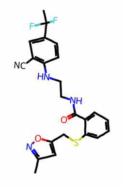 Cc1cc(CSc2ccccc2C(=O)NCCNc2ccc(C(C)(F)F)cc2C#N)on1